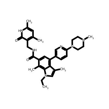 CCn1cc(C)c2c(-c3ccc(N4CCN(C)CC4)nc3)cc(C(=O)NCc3c(C)cc(C)[nH]c3=O)c(C)c21